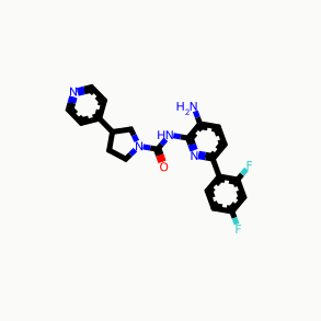 Nc1ccc(-c2ccc(F)cc2F)nc1NC(=O)N1CCC(c2ccncc2)C1